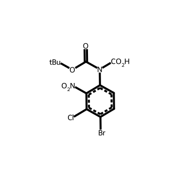 CC(C)(C)OC(=O)N(C(=O)O)c1ccc(Br)c(Cl)c1[N+](=O)[O-]